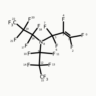 FC(F)=C(F)C(F)(F)N(C(F)(F)C(F)(F)C(F)(F)F)C(F)(F)C(F)(F)C(F)(F)F